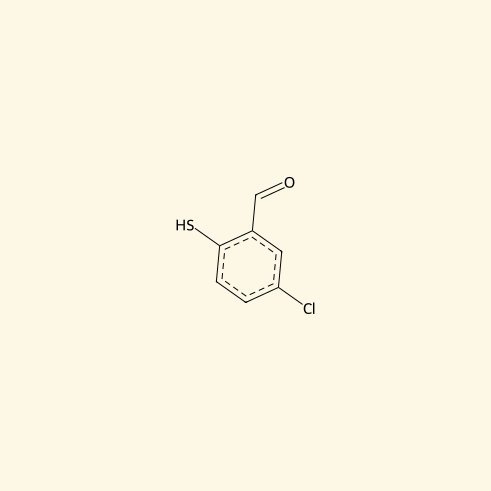 O=Cc1cc(Cl)ccc1S